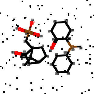 CC1(C)C2CCC1(CS(=O)(=O)[O-])C(=O)C2.C[S+](C1CCCCC1)C1CCCCC1=O